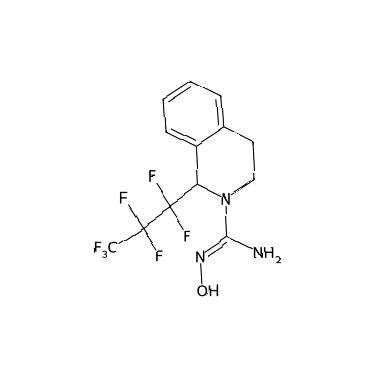 NC(=NO)N1CCc2ccccc2C1C(F)(F)C(F)(F)C(F)(F)F